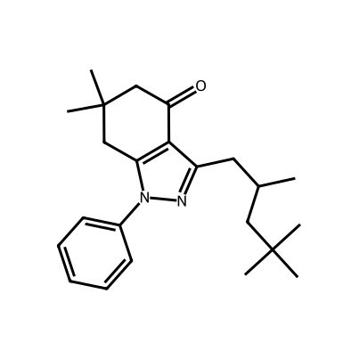 CC(Cc1nn(-c2ccccc2)c2c1C(=O)CC(C)(C)C2)CC(C)(C)C